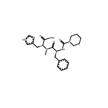 COC(=O)[C@H](Cc1c[nH]cn1)N(C)C(=O)[C@H](Cc1ccccc1)NC(=O)N1CCCCC1